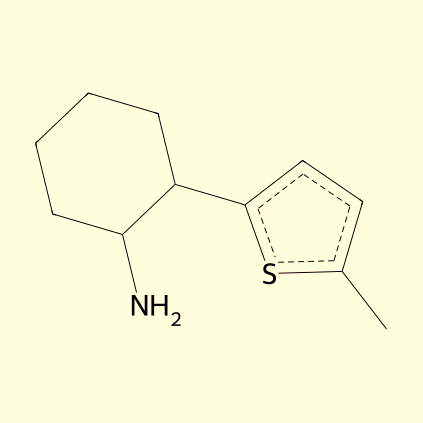 Cc1ccc(C2CCCCC2N)s1